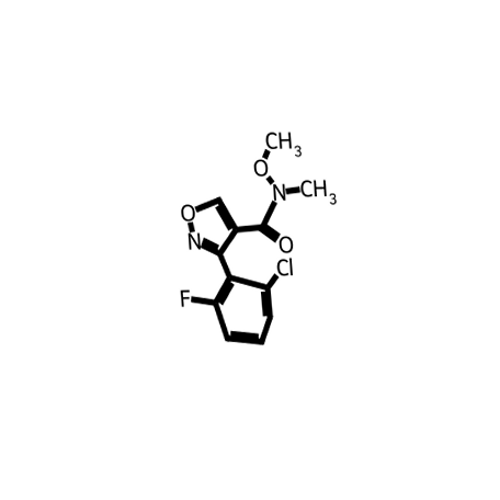 CON(C)C(=O)c1conc1-c1c(F)cccc1Cl